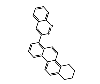 c1ccc2nnc(-c3cccc4c3ccc3c5c(ccc34)CCCC5)cc2c1